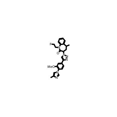 COc1cc(-c2cn(C3CC(C)c4ccccc4N(CCF)C3=O)nn2)ccc1-n1cnc(C)c1